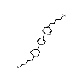 N#CCCCCc1cnc(-c2ccc(C3CCC(CCCCC#N)CC3)cc2)nc1